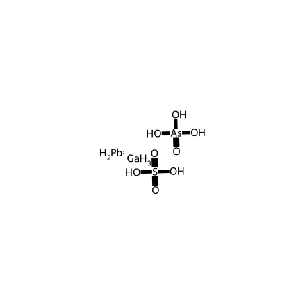 O=S(=O)(O)O.O=[As](O)(O)O.[GaH3].[PbH2]